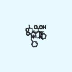 CNC(C(=O)O)[C@@H]1[C@@H](CC(C)=O)C(=O)N(Cc2ccccc2)[C@H]1Cc1ccccc1